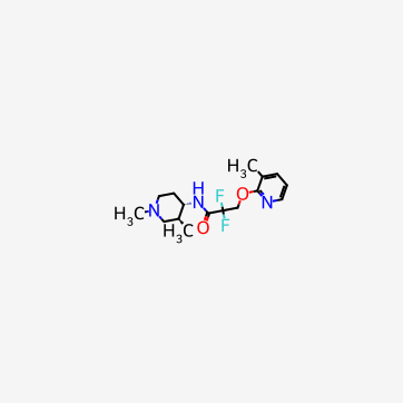 Cc1cccnc1OCC(F)(F)C(=O)N[C@H]1CCN(C)C[C@@H]1C